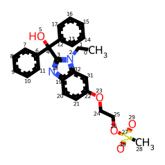 CCn1c(C(O)(c2ccccc2)c2ccccc2)nc2ccc(OCCOS(C)(=O)=O)cc21